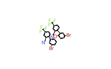 N#Cc1cc(C(F)(F)F)ccc1-c1cc(Br)ccc1Oc1ccc(Br)cc1-c1ccc(C(F)(F)F)cc1C#N